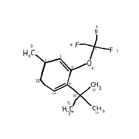 CC1C=C(OC(F)(F)F)C(C(C)(C)C)=CC1